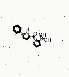 O=C([C@@H]1CC[C@H](c2ccccc2)N1)N1CCC[C@H]1B(O)O